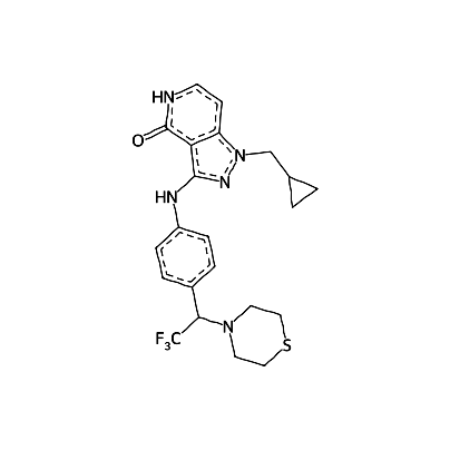 O=c1[nH]ccc2c1c(Nc1ccc(C(N3CCSCC3)C(F)(F)F)cc1)nn2CC1CC1